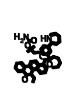 CCC1C(=O)C2=CCCC=C2c2ccc3c(C(=C=CCC(C)(C)OC(N)=O)C4(c5cccc(C6=CC=CC=CN6)c5)CCCCCO4)cccc3c21